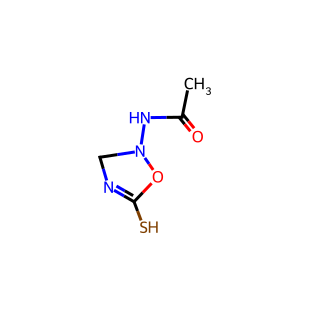 CC(=O)NN1CN=C(S)O1